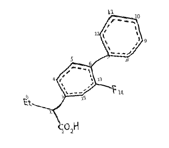 CCC(C(=O)O)c1ccc(-c2ccccc2)c(F)c1